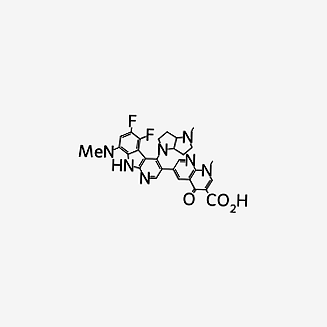 CNc1cc(F)c(F)c2c1[nH]c1ncc(-c3cnc4c(c3)c(=O)c(C(=O)O)cn4C)c(N3CCC4C3CCN4C)c12